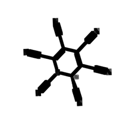 N#CB1C(C#N)=C(C#N)C(C#N)=C(C#N)[C@H]1C#N